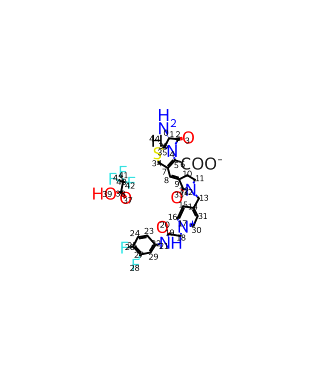 N[C@@H]1C(=O)N2C(C(=O)[O-])=C(C=C3CCN(Cc4cc[n+](CC(=O)Nc5ccc(F)c(F)c5)cc4)C3=O)CS[C@H]12.O=C(O)C(F)(F)F